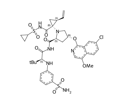 C=C[C@@H]1C[C@@]1(C(=O)NS(=O)(=O)C1CC1)N1C[C@H](Oc2ncc(OC)c3ccc(Cl)cc23)C[C@H]1C(=O)NC(=O)[C@@H](Nc1cccc(S(N)(=O)=O)c1)C(C)(C)C